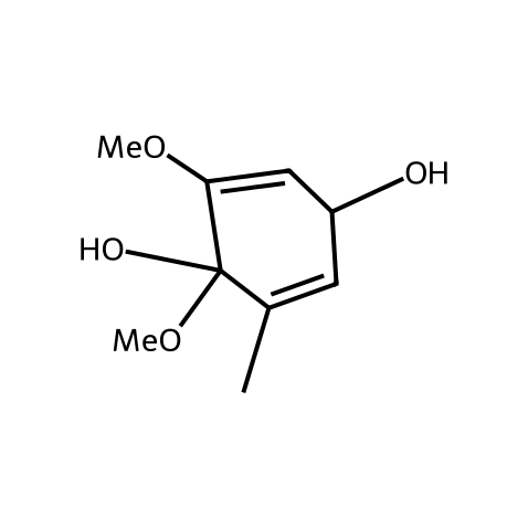 COC1=CC(O)C=C(C)C1(O)OC